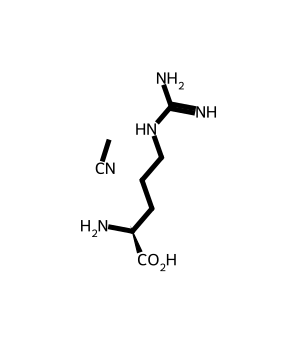 CC#N.N=C(N)NCCC[C@H](N)C(=O)O